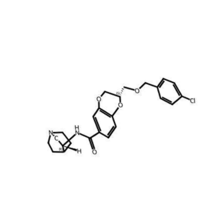 O=C(N[C@H]1CN2CCC1CC2)c1ccc2c(c1)OC[C@H](COCc1ccc(Cl)cc1)O2